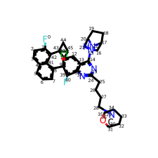 Fc1ccc2cccc(-c3c(Cl)cc4c(N5CC6CCC(C5)N6)nc(CCCCN5CC6CCC5CO6)nc4c3F)c2c1C12CC1C2